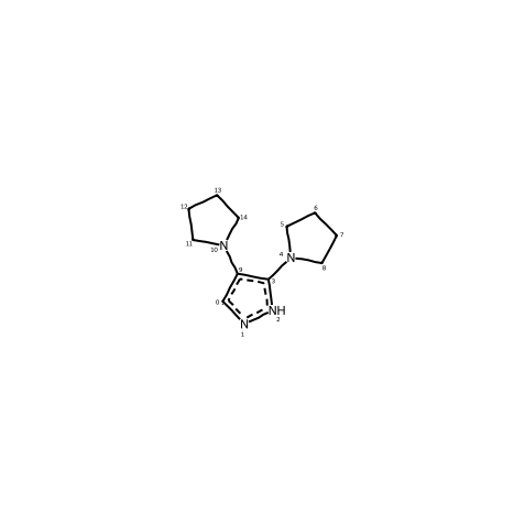 [c]1n[nH]c(N2CCCC2)c1N1CCCC1